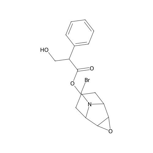 O=C(OC1CC2C3OC3C(C1)N2CBr)C(CO)c1ccccc1